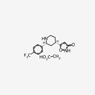 CC(=O)O.O=c1cc([C@H]2CCN[C@@H](c3ccc(C(F)(F)F)cc3)C2)o[nH]1